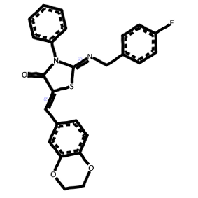 O=C1/C(=C/c2ccc3c(c2)OCCO3)S/C(=N\Cc2ccc(F)cc2)N1c1ccccc1